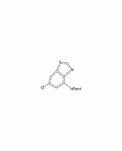 CCCCCc1cc([O])cc2scnc12